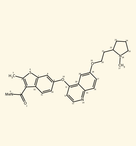 CNC(=O)c1c(C)sc2cc(Oc3ccnc4ccc(OCCC5CCCN5C)cc34)ccc12